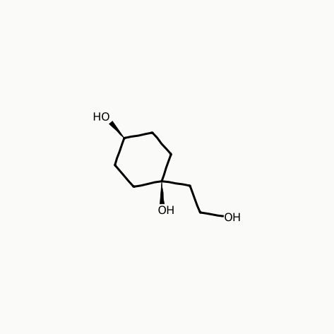 OCC[C@]1(O)CC[C@@H](O)CC1